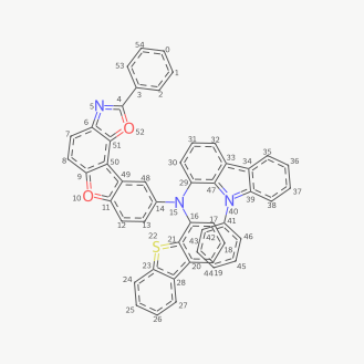 c1ccc(-c2nc3ccc4oc5ccc(N(c6cccc7c6sc6ccccc67)c6cccc7c8ccccc8n(-c8ccccc8)c67)cc5c4c3o2)cc1